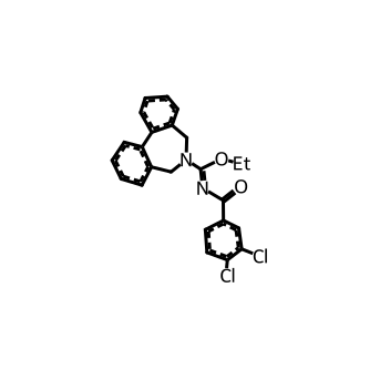 CCOC(=NC(=O)c1ccc(Cl)c(Cl)c1)N1Cc2ccccc2-c2ccccc2C1